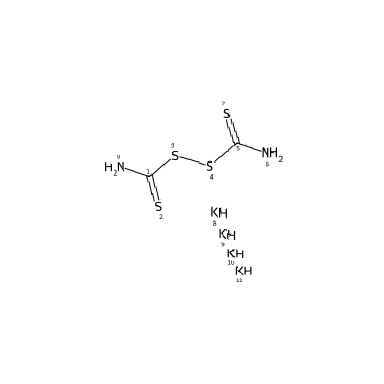 NC(=S)SSC(N)=S.[KH].[KH].[KH].[KH]